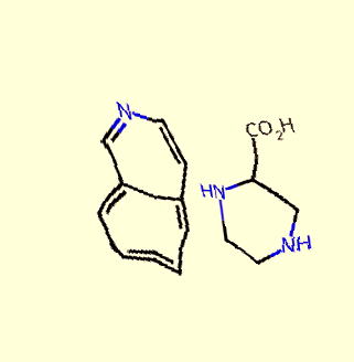 O=C(O)C1CNCCN1.c1ccc2cnccc2c1